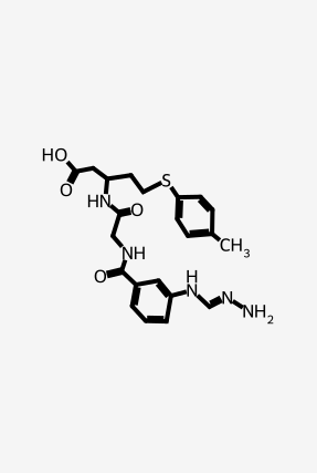 Cc1ccc(SCCC(CC(=O)O)NC(=O)CNC(=O)c2cccc(NC=NN)c2)cc1